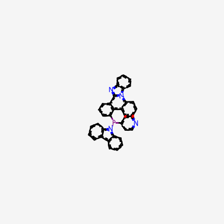 c1ccc2c(c1)nc1c3cccc(P(c4ccncc4)n4c5ccccc5c5ccccc54)c3c3ccccc3n21